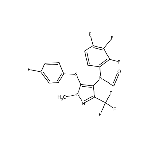 Cn1nc(C(F)(F)F)c(N(C=O)c2ccc(F)c(F)c2F)c1Sc1ccc(F)cc1